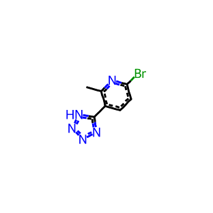 Cc1nc(Br)ccc1-c1nnn[nH]1